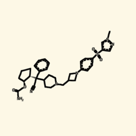 Cn1cc(S(=O)(=O)c2ccc(N3CC(CN4CCC(C(C#N)(c5ccccc5)[C@H]5CCC[C@@H]5OC(N)=O)CC4)C3)cc2)cn1